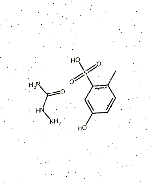 Cc1ccc(O)cc1S(=O)(=O)O.NNC(N)=O